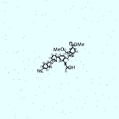 COCCn1c(Cc2ccc(-c3cccc(OCc4ccc(C#N)cc4F)n3)cc2C#CC(C)O)nc2ccc(C(=O)OC)cc21